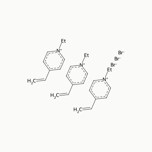 C=Cc1cc[n+](CC)cc1.C=Cc1cc[n+](CC)cc1.C=Cc1cc[n+](CC)cc1.[Br-].[Br-].[Br-]